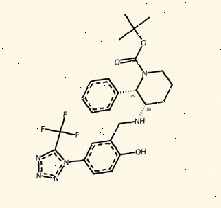 CC(C)(C)OC(=O)N1CCC[C@H](NCc2cc(-n3nnnc3C(F)(F)F)ccc2O)[C@@H]1c1ccccc1